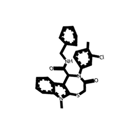 Cc1ccc(N2C(=O)CSc3c(c4ccccc4n3C)C2C(=O)NCc2ccccc2)cc1Cl